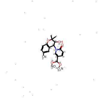 CC1(C)Oc2ccc(C#N)cc2C(n2cc(C(O[N+](=O)[O-])O[N+](=O)[O-])ccc2=O)C1O